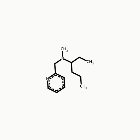 CCCC(CC)N(C)Cc1ccccn1